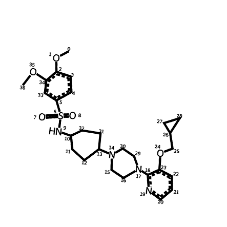 COc1ccc(S(=O)(=O)NC2CCC(N3CCN(c4ncccc4OCC4CC4)CC3)CC2)cc1OC